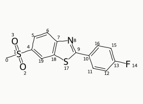 CS(=O)(=O)c1ccc2nc(-c3ccc(F)cc3)sc2c1